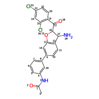 CC(=O)Nc1cccc(-c2ccc3c(c2)OC(C(=O)c2ccc(Cl)cc2Cl)C3N)c1